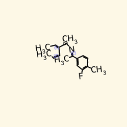 C/C=C\C(=C/C)[C@H](C)/N=C(\C)c1ccc(C)c(F)c1